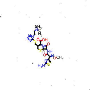 CON=C(C(=O)NC1C(=O)N2C(C(=O)O)=C(CSc3nnnn3CCN(C)C)CS[C@@H]12)c1csc(N)n1